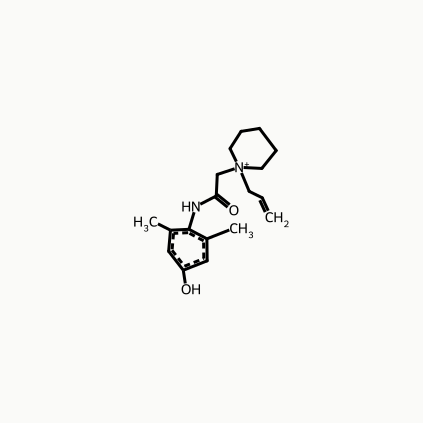 C=CC[N+]1(CC(=O)Nc2c(C)cc(O)cc2C)CCCCC1